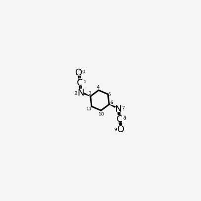 O=C=N[C@H]1CC[C@@H](N=C=O)CC1